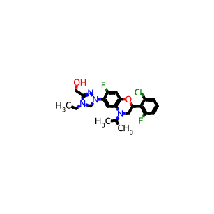 CCN1CN(c2cc3c(cc2F)OC(c2c(F)cccc2Cl)CN3C(C)C)N=C1CO